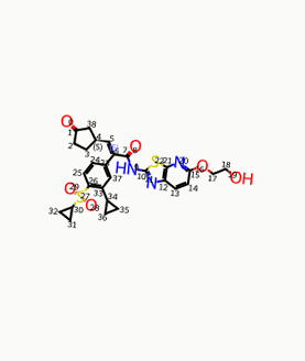 O=C1CC[C@H](/C=C(/C(=O)Nc2nc3ccc(OCCO)nc3s2)c2ccc(S(=O)(=O)C3CC3)c(C3CC3)c2)C1